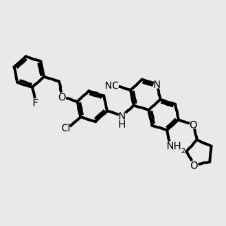 N#Cc1cnc2cc(OC3CCOC3)c(N)cc2c1Nc1ccc(OCc2ccccc2F)c(Cl)c1